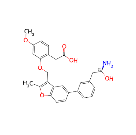 COc1ccc(CC(=O)O)c(OCc2c(C)oc3ccc(-c4cccc(C[C@@H](N)O)c4)cc23)c1